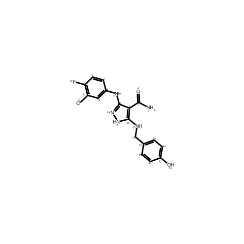 NC(=O)c1c(Nc2ccc(F)c(Cl)c2)n[nH]c1NCc1ccc(O)cc1